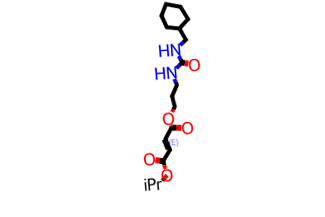 CC(C)OC(=O)/C=C/C(=O)OCCCNC(=O)NCC1CCCCC1